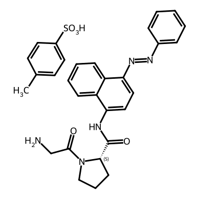 Cc1ccc(S(=O)(=O)O)cc1.NCC(=O)N1CCC[C@H]1C(=O)Nc1ccc(N=Nc2ccccc2)c2ccccc12